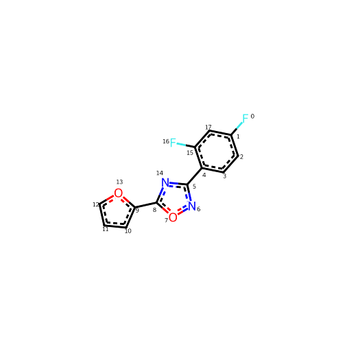 Fc1ccc(-c2noc(-c3ccco3)n2)c(F)c1